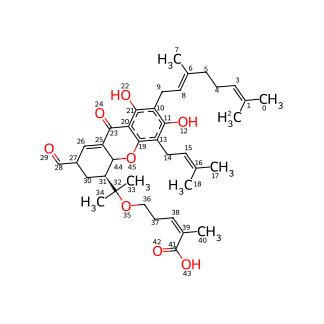 CC(C)=CCC/C(C)=C/Cc1c(O)c(CC=C(C)C)c2c(c1O)C(=O)C1=CC(C=O)C[C@H](C(C)(C)OCC/C=C(/C)C(=O)O)C1O2